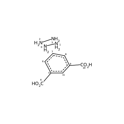 NN.NN.O=C(O)c1cccc(C(=O)O)c1